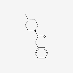 CC1CCN(C(=O)Cc2ccccc2)CC1